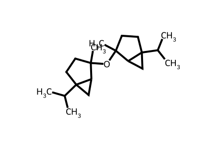 CC(C)C12CCC(C)(OC3(C)CCC4(C(C)C)CC34)C1C2